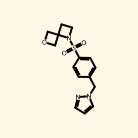 O=S(=O)(c1ccc(Cn2cccn2)cc1)N1CCC12COC2